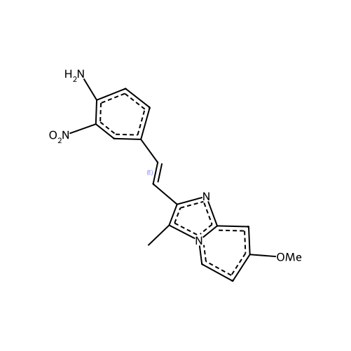 COc1ccn2c(C)c(/C=C/c3ccc(N)c([N+](=O)[O-])c3)nc2c1